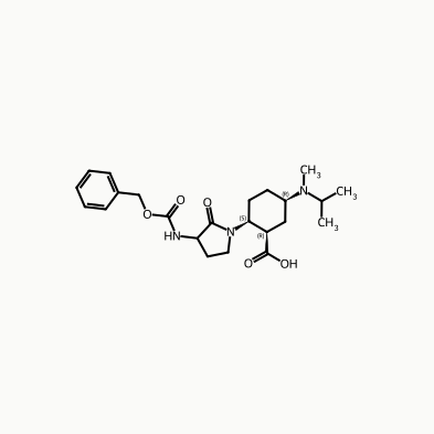 CC(C)N(C)[C@@H]1CC[C@H](N2CCC(NC(=O)OCc3ccccc3)C2=O)[C@H](C(=O)O)C1